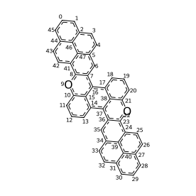 c1cc2ccc3cc4c(oc5cccc6c5c4c4cccc5oc7c8ccc9cccc%10ccc(cc7c6c54)c8c%109)c4ccc(c1)c2c34